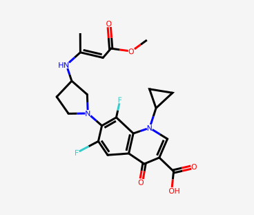 COC(=O)C=C(C)NC1CCN(c2c(F)cc3c(=O)c(C(=O)O)cn(C4CC4)c3c2F)C1